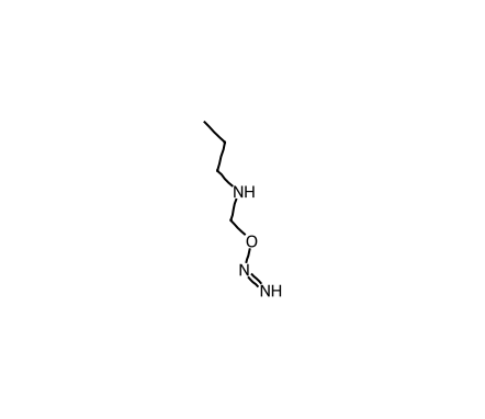 CCCNCON=N